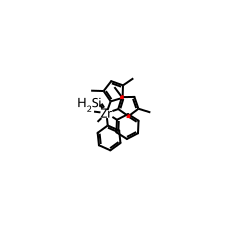 CC1=CC(C)=[C]([Zr]([CH3])([CH3])(=[SiH2])([C]2=C(C)C=C(C)C2)([c]2ccccc2)[c]2ccccc2)C1